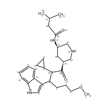 COCCCC(c1c[nH]c2ccccc12)N(C(=O)[C@@H]1CNC[C@H](NC(=O)CC(C)C)C1)C1CC1